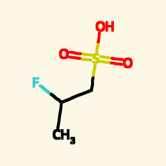 CC(F)CS(=O)(=O)O